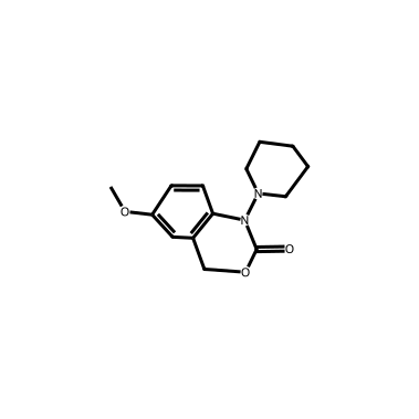 COc1ccc2c(c1)COC(=O)N2N1CCCCC1